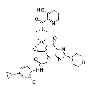 O=C(Cn1c2c(c(=O)n3nc(C4=CCOCC4)nc13)C1(CCN(C(=O)c3ncccc3O)CC1)C1CC21)Nc1ccc(C2CC2)cc1Cl